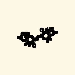 CC(O)CN1C(C)(C)CN(CCN2CC(C)(C)N(CC(C)O)C(C)(C)C2=O)C(=O)C1(C)C